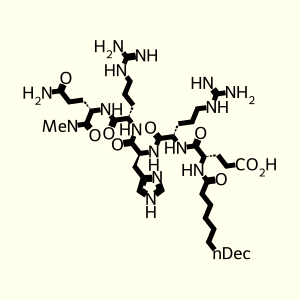 CCCCCCCCCCCCCCCC(=O)N[C@@H](CCC(=O)O)C(=O)N[C@@H](CCCNC(=N)N)C(=O)N[C@@H](Cc1c[nH]cn1)C(=O)N[C@@H](CCCNC(=N)N)C(=O)N[C@@H](CCC(N)=O)C(=O)NC